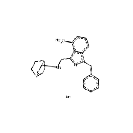 O=C(O)c1cccc2c1c(CNC1CN3CCC1CC3)nn2Cc1ccccc1.[LiH]